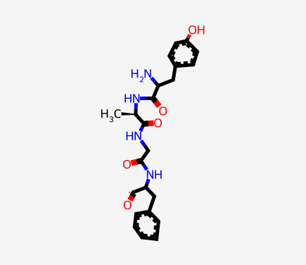 C[C@@H](NC(=O)C(N)Cc1ccc(O)cc1)C(=O)NCC(=O)NC([C]=O)Cc1ccccc1